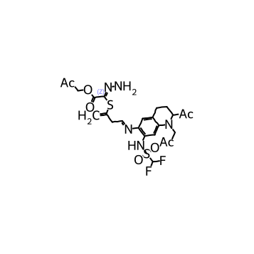 C=C(CC=Nc1cc2c(cc1NS(=O)(=O)C(F)F)N(CC(C)=O)C(C(C)=O)CC2)S/C(=N\N)C(=O)OCC(C)=O